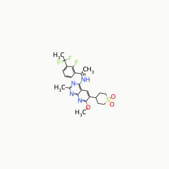 COc1nc2nc(C)nc(N[C@H](C)c3cccc(C(C)(F)F)c3F)c2cc1C1CCS(=O)(=O)CC1